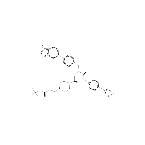 Cn1cnc2cc(-c3ccc(C[C@H](NC(=O)C4CCC(CNC(=O)OC(C)(C)C)CC4)C(=O)Nc4ccc(-c5nn[nH]n5)cc4)cc3)ccc21